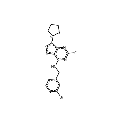 Clc1nc(NCc2ccnc(Br)c2)c2ncn([C@H]3CCCS3)c2n1